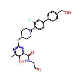 Cc1nc(CC2CCN(c3ccc(-c4ccc(CO)cc4)cc3F)CC2)nc(C(=O)NCC=O)c1O